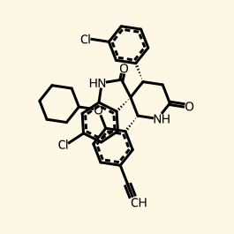 C#Cc1ccc(OC2CCCCC2)c([C@H]2NC(=O)C[C@@H](c3cccc(Cl)c3)[C@]23C(=O)Nc2cc(Cl)ccc23)c1